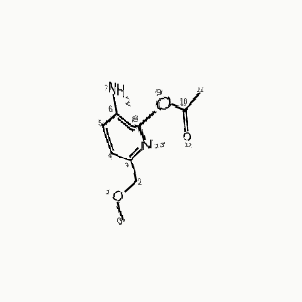 COCc1ccc(N)c(OC(C)=O)n1